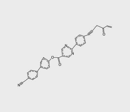 C=CC(=O)CC#Cc1ccc(-c2ncc(C(=O)Oc3ccc(-c4ccc(C#N)cc4)cc3)cn2)cc1